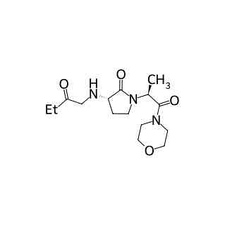 CCC(=O)CN[C@H]1CCN([C@@H](C)C(=O)N2CCOCC2)C1=O